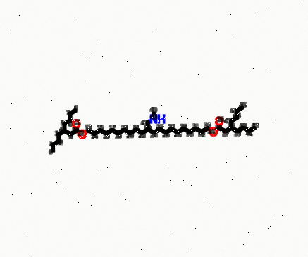 CCCCC(CCCC)CC(=O)OCCCCCCCCCCC(CCCCCCCCCCOC(=O)CC(CCCC)CCCC)CNC